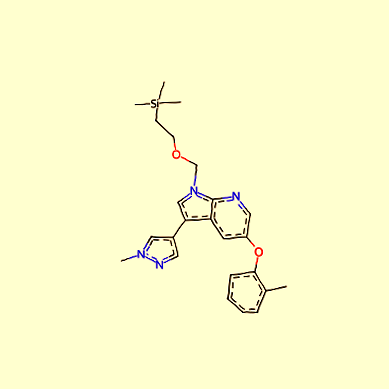 Cc1ccccc1Oc1cnc2c(c1)c(-c1cnn(C)c1)cn2COCC[Si](C)(C)C